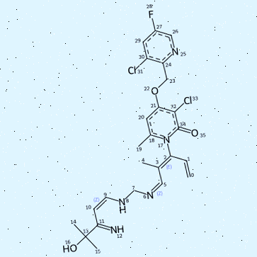 C=C/C(=C(C)\C=N/CN/C=C\C(=N)C(C)(C)O)n1c(C)cc(OCc2ncc(F)cc2Cl)c(Cl)c1=O